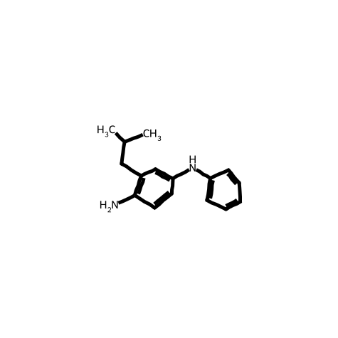 CC(C)Cc1cc(Nc2ccccc2)ccc1N